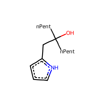 CCCCCC(O)(CCCCC)Cc1ccc[nH]1